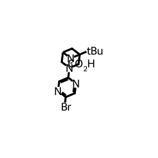 CC(C)(C)C12CC(CN(c3cnc(Br)cn3)C1)N2C(=O)O